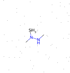 CNN(C)[SiH3]